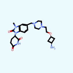 Cn1c(=O)n(C2CCC(=O)NC2=O)c2ccc(CN3CCN(CCO[C@H]4C[C@H](N)C4)CC3)cc21